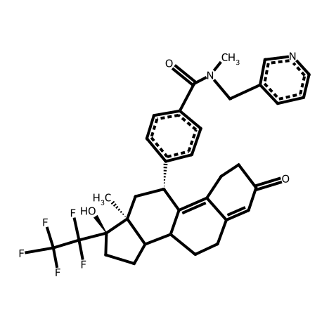 CN(Cc1cccnc1)C(=O)c1ccc([C@H]2C[C@@]3(C)C(CC[C@]3(O)C(F)(F)C(F)(F)F)C3CCC4=CC(=O)CCC4=C32)cc1